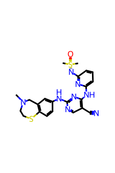 CN1CCSc2ccc(Nc3ncc(C#N)c(Nc4cccc(N=S(C)(C)=O)n4)n3)cc2C1